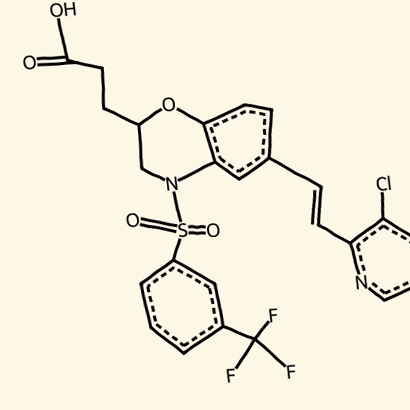 O=C(O)CCC1CN(S(=O)(=O)c2cccc(C(F)(F)F)c2)c2cc(C=Cc3ncccc3Cl)ccc2O1